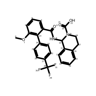 COc1cccc(C(=O)NC2c3ccccc3CCN2C(=O)O)c1-c1ccc(C(F)(F)F)cc1